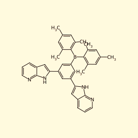 Cc1cc(C)c(B(c2cc(-c3cc4cccnc4[nH]3)cc(-c3cc4cccnc4[nH]3)c2)c2c(C)cc(C)cc2C)c(C)c1